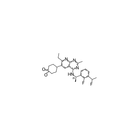 CCc1nc2nc(C)nc(N[C@H](C)c3cccc(C(C)F)c3F)c2cc1C1CCS(=O)(=O)CC1